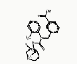 Cc1ccccc1N(Cc1cccc(C(=O)O)c1)C(=O)O[C@H]1CN2CCC1CC2